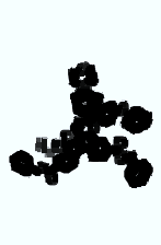 CC1(C)c2cc(C(=O)OCc3ccccc3)ccc2-c2c1c1c(c3cc(C(=O)OCc4ccccc4)ccc23)OC(c2ccc(Oc3ccccc3)cc2)(c2ccc(N3CCOCC3)cc2)C=C1